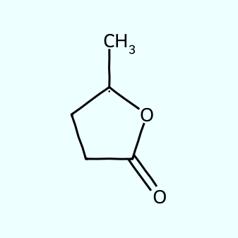 C[C]1CCC(=O)O1